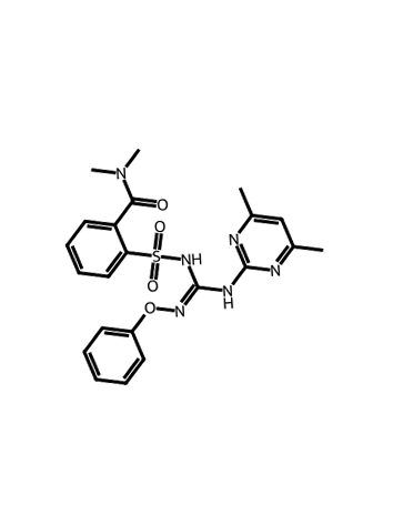 Cc1cc(C)nc(NC(=NOc2ccccc2)NS(=O)(=O)c2ccccc2C(=O)N(C)C)n1